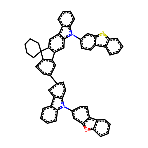 c1ccc2c(c1)oc1cc(-n3c4ccccc4c4cc(-c5ccc6c(c5)-c5cc7c(cc5C65CCCCC5)c5ccccc5n7-c5ccc6c(c5)sc5ccccc56)ccc43)ccc12